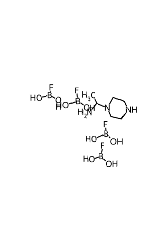 CC(N)N1CCNCC1.OB(O)F.OB(O)F.OB(O)F.OB(O)F